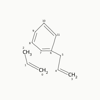 C=CC.C=CCc1ccccc1